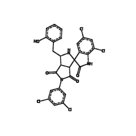 O=C1C2C(Cc3ccccc3O)NC3(C(=O)Nc4c(Cl)cc(Cl)cc43)C2C(=O)N1c1cc(Cl)cc(Cl)c1